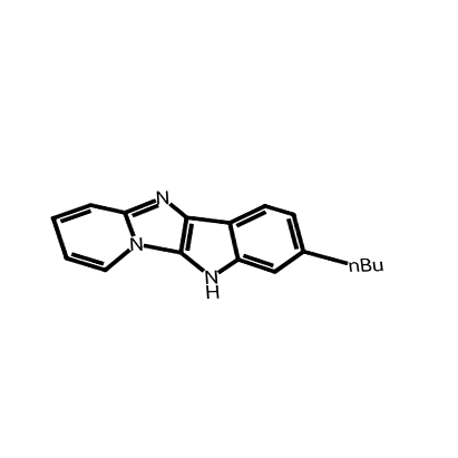 CCCCc1ccc2c(c1)[nH]c1c2nc2ccccn21